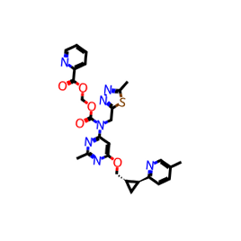 Cc1ccc([C@H]2C[C@@H]2COc2cc(N(Cc3nnc(C)s3)C(=O)OCOC(=O)c3ccccn3)nc(C)n2)nc1